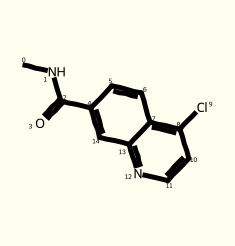 CNC(=O)c1ccc2c(Cl)ccnc2c1